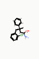 CC(Cc1ccccc1Cl)(C[C@H](N)O)c1ccccc1